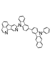 c1ccc(-n2c3ccc(-c4ccc5c(c4)c4ccccc4n5-c4cc5c(cn4)-c4nccc6cccc-5c46)cc3c3cc4ccccc4cc32)cc1